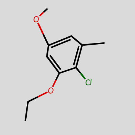 CCOc1cc(OC)cc(C)c1Cl